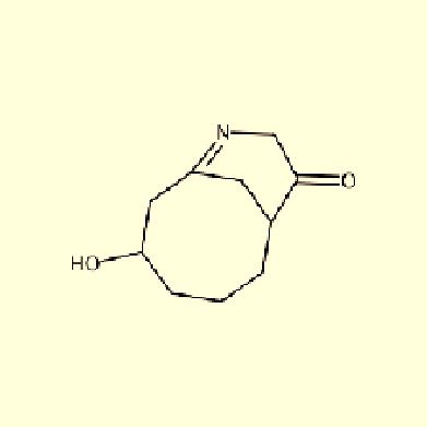 O=C1CN=C2CC(O)CCCC1C2